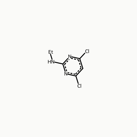 CCNc1nc(Cl)cc(Cl)n1